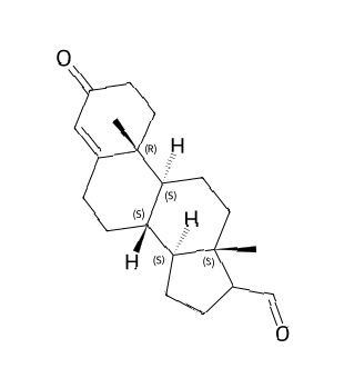 C[C@]12CCC(=O)C=C1CC[C@@H]1[C@@H]2CC[C@]2(C)C(C=O)CC[C@@H]12